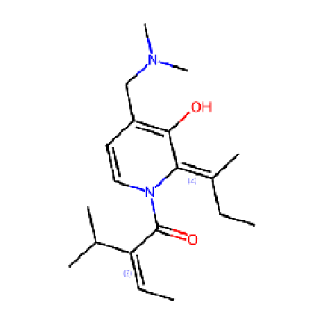 C/C=C(\C(=O)N1C=CC(CN(C)C)=C(O)/C1=C(\C)CC)C(C)C